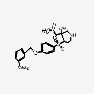 COc1cccc(COc2ccc(S(=O)(=O)C3CCNCC3(O)C(=O)NO)cc2)c1